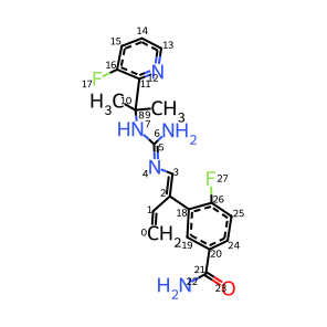 C=C/C(=C\N=C(/N)NC(C)(C)c1ncccc1F)c1cc(C(N)=O)ccc1F